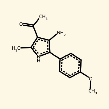 COc1ccc(-c2[nH]c(C)c(C(C)=O)c2N)cc1